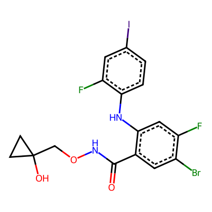 O=C(NOCC1(O)CC1)c1cc(Br)c(F)cc1Nc1ccc(I)cc1F